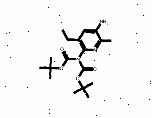 CCc1cc(N)c(I)nc1N(C(=O)OC(C)(C)C)C(=O)OC(C)(C)C